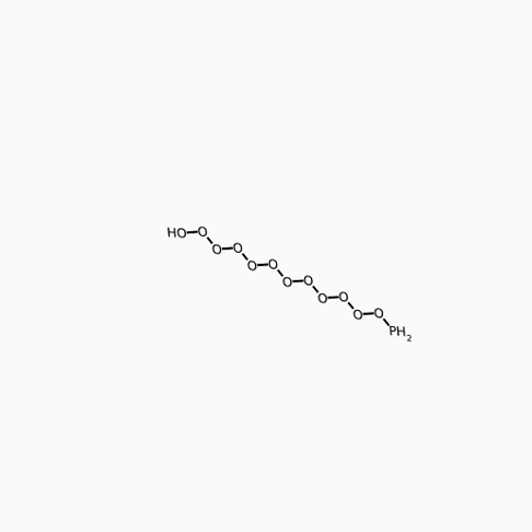 OOOOOOOOOOOOP